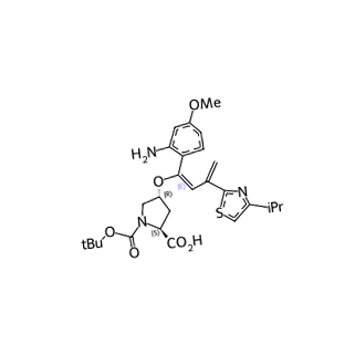 C=C(/C=C(/O[C@@H]1C[C@@H](C(=O)O)N(C(=O)OC(C)(C)C)C1)c1ccc(OC)cc1N)c1nc(C(C)C)cs1